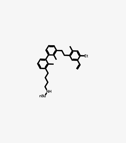 C=Cc1cc(CCc2cccc(-c3cccc(CCCCNCCCC)c3C)c2C)c(C)cc1CC